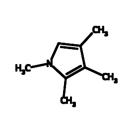 Cc1cn(C)c(C)c1C